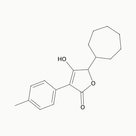 Cc1ccc(C2=C(O)C(C3CCCCCC3)OC2=O)cc1